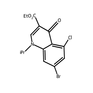 CCOC(=O)c1cn(C(C)C)c2cc(Br)cc(Cl)c2c1=O